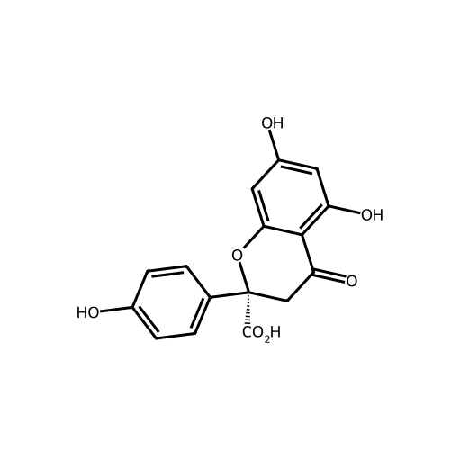 O=C1C[C@@](C(=O)O)(c2ccc(O)cc2)Oc2cc(O)cc(O)c21